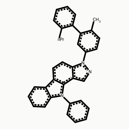 CCCc1ccccc1-c1cc(-n2ncc3c2ccc2c4ccccc4n(-c4ccccc4)c23)ccc1C